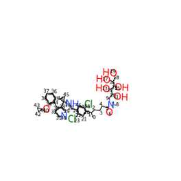 CC(CCCC(=O)N(C)CC(O)C(O)C(O)C(O)CO)c1cc(Cl)c(CNC2(c3cnccc3-c3ccccc3OC3CC3)CC2)cc1Cl